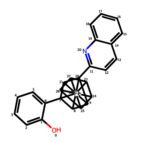 Oc1ccccc1[C]12[CH]3[CH]4[C]5(c6ccc7ccccc7n6)[CH]1[Fe]43521678[CH]2[CH]1[CH]6[CH]7[CH]28